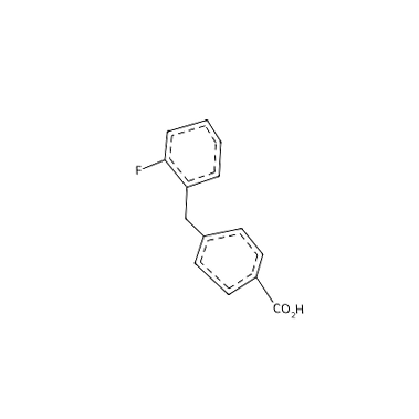 O=C(O)c1ccc(Cc2ccccc2F)cc1